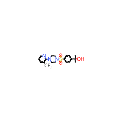 CC(C)(O)c1ccc(S(=O)(=O)N2CCN(c3ncccc3C(F)(F)F)CC2)cc1